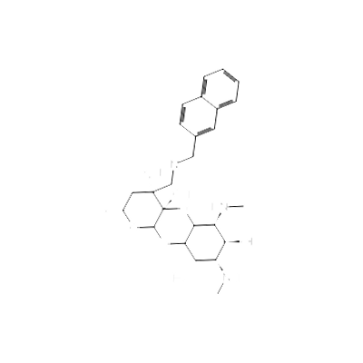 CN[C@@H]1[C@H](O)[C@H](NC)C2O[C@]3(O)C(OC2[C@H]1O)O[C@H](C)C[C@@]3(O)CNCc1ccc2ccccc2c1